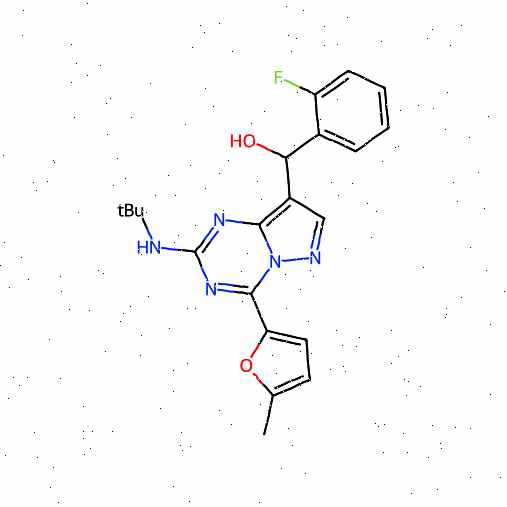 Cc1ccc(-c2nc(NC(C)(C)C)nc3c(C(O)c4ccccc4F)cnn23)o1